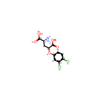 N[C@@H](CC(Oc1ccc(Cl)c(Cl)c1)C(=O)O)C(=O)O